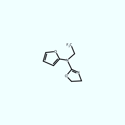 FC(F)(F)CN(C1=NCCO1)c1ccco1